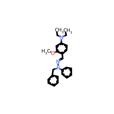 CCN(CC)c1ccc(C=NN(Cc2ccccc2)c2ccccc2)c(OC)c1